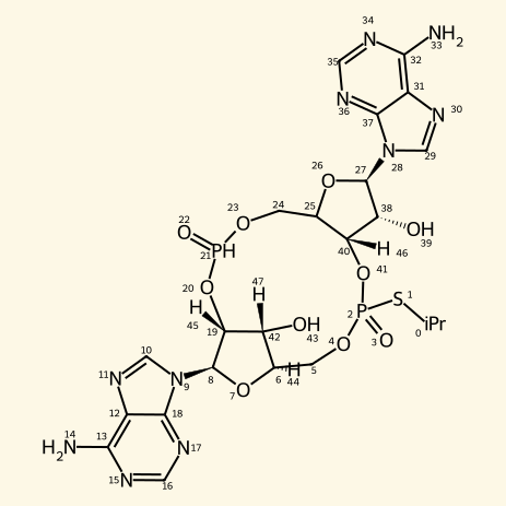 CC(C)SP1(=O)OC[C@H]2O[C@@H](n3cnc4c(N)ncnc43)[C@H](O[PH](=O)OCC3O[C@@H](n4cnc5c(N)ncnc54)[C@H](O)[C@@H]3O1)[C@@H]2O